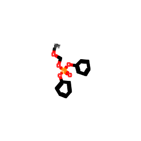 CC(C)OCOP(=O)(Oc1ccccc1)Oc1ccccc1